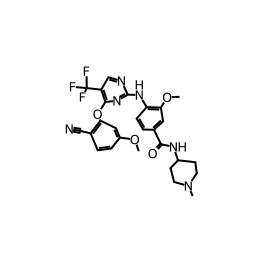 COc1ccc(C#N)c(Oc2nc(Nc3ccc(C(=O)NC4CCN(C)CC4)cc3OC)ncc2C(F)(F)F)c1